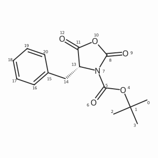 CC(C)(C)OC(=O)N1C(=O)OC(=O)[C@H]1Cc1ccccc1